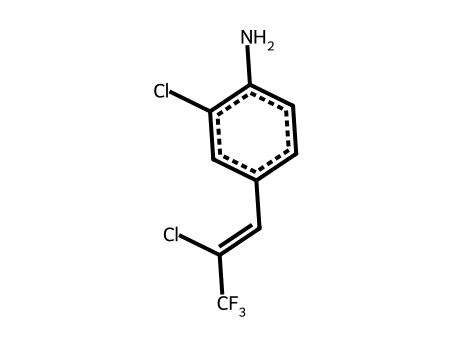 Nc1ccc(C=C(Cl)C(F)(F)F)cc1Cl